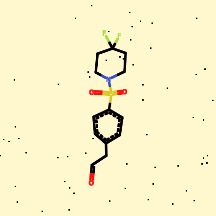 O=CCc1ccc(S(=O)(=O)N2CCC(F)(F)CC2)cc1